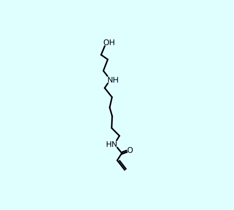 C=CC(=O)NCCCCCCNCCCO